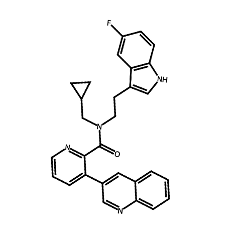 O=C(c1ncccc1-c1cnc2ccccc2c1)N(CCc1c[nH]c2ccc(F)cc12)CC1CC1